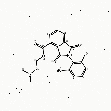 CC(C)c1cccc(C(C)C)c1N1C(=O)c2cccc(C(=O)OCCN(C)C)c2C1=O